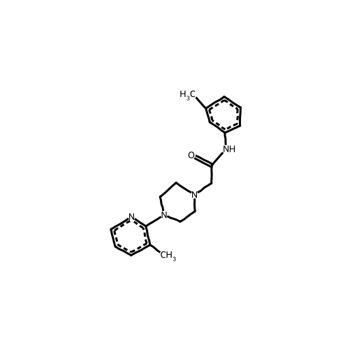 Cc1cccc(NC(=O)CN2CCN(c3ncccc3C)CC2)c1